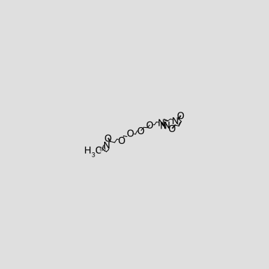 C[C@H]1CCN(C(=O)CCOCCOCCOCCOCCn2cc(CN3C(=O)C=CC3=O)nn2)C1